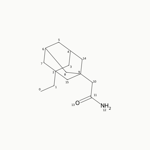 CCC12CC3CC(C1)CC(CC(N)=O)(C3)C2